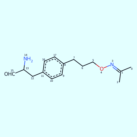 CC(C)=NOCCCc1ccc(CC(N)C=O)cc1